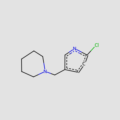 Clc1ccc(CN2CCCCC2)cn1